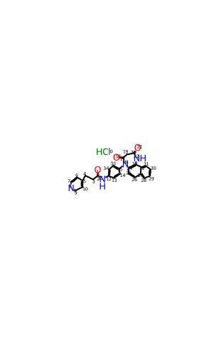 Cl.O=C(CCc1ccncc1)Nc1ccc(N2C(=O)CC(=O)Nc3c2ccc2ccccc32)cc1